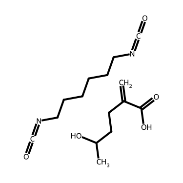 C=C(CCC(C)O)C(=O)O.O=C=NCCCCCCN=C=O